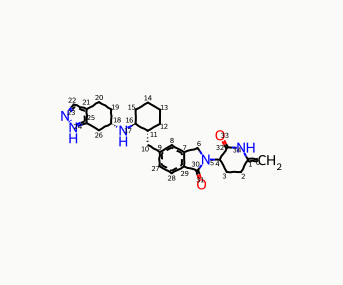 C=C1CCC(N2Cc3cc(C[C@H]4CCCC[C@@H]4N[C@H]4CCc5cn[nH]c5C4)ccc3C2=O)C(=O)N1